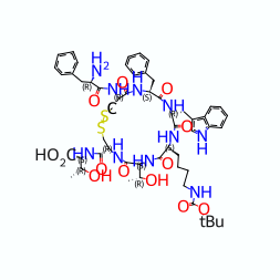 C[C@@H](O)[C@H](NC(=O)[C@@H]1CSSC[C@H](NC(=O)[C@H](N)Cc2ccccc2)C(=O)N[C@@H](Cc2ccccc2)C(=O)N[C@H](Cc2c[nH]c3ccccc23)C(=O)N[C@@H](CCCCNC(=O)OC(C)(C)C)C(=O)N[C@@H]([C@@H](C)O)C(=O)N1)C(=O)O